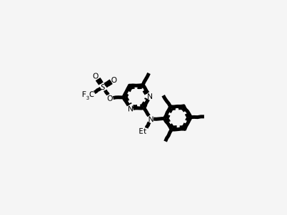 CCN(c1nc(C)cc(OS(=O)(=O)C(F)(F)F)n1)c1c(C)cc(C)cc1C